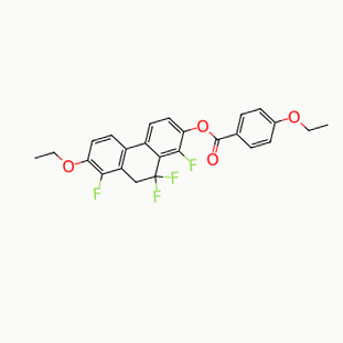 CCOc1ccc(C(=O)Oc2ccc3c(c2F)C(F)(F)Cc2c-3ccc(OCC)c2F)cc1